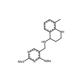 CNc1nc(SC)ncc1CNC1CCNc2c(C)cccc21